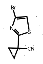 N#CC1(c2nc(Br)cs2)CC1